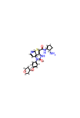 N[C@H]1CCC=C1NC(=O)c1sc2nccc3c2c1NC(=O)N3c1ccc(OC2CCOCC2)cc1